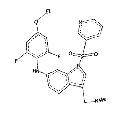 CCOc1cc(F)c(Nc2ccc3c(CNC)cn(S(=O)(=O)c4cccnc4)c3c2)c(F)c1